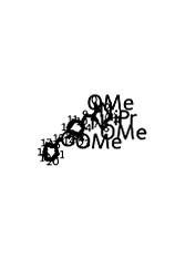 COC1=N[C@H](C(C)C)C(OC)=NC1Cc1ccc(OCc2ccccc2)c(OC)c1